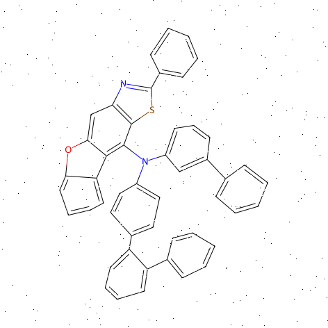 c1ccc(-c2cccc(N(c3ccc(-c4ccccc4-c4ccccc4)cc3)c3c4sc(-c5ccccc5)nc4cc4oc5ccccc5c34)c2)cc1